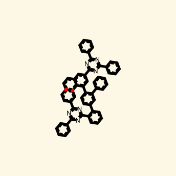 c1ccc(-c2nc(-c3ccccc3)nc(-c3cc(-c4ccc(-c5ccccc5-c5nc(-c6ccccc6)nc(-c6ccccc6)n5)cc4-c4ccccc4)c4ccccc4c3)n2)cc1